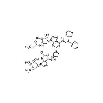 CCC(=O)N[C@H]1C[C@@H](n2cnc3c(NCC(c4ccccc4)c4ccccc4)nc(N4CC[C@@H](Nc5nc(Cl)nc6c5ncn6[C@@H]5C[C@H](N)[C@@H](O)[C@H]5O)C4)nc32)[C@H](O)[C@@H]1O